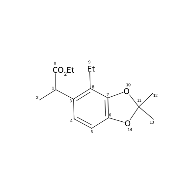 CCOC(=O)C(C)c1ccc2c(c1CC)OC(C)(C)O2